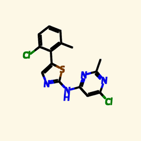 Cc1nc(Cl)cc(Nc2ncc(-c3c(C)cccc3Cl)s2)n1